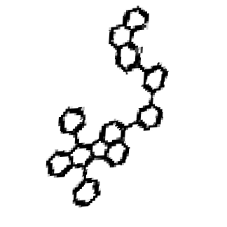 c1ccc(-c2c3c(c(-c4ccccc4)c4ccccc24)-c2ccc(-c4cccc(-c5cccc(-c6ccc7ccc8cccnc8c7n6)c5)c4)c4cccc-3c24)cc1